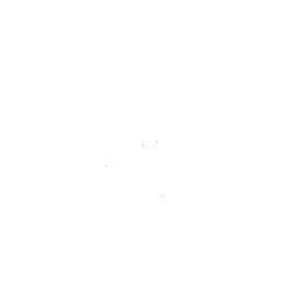 CCCC(C)C1CC2(C(=O)O1)C(C)(O)CC(C)CCC(C)(C)CC2(C)O